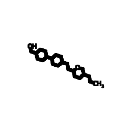 CCCC1CCC(CCC2CCC(C3CCC(CO)CC3)CC2)OC1